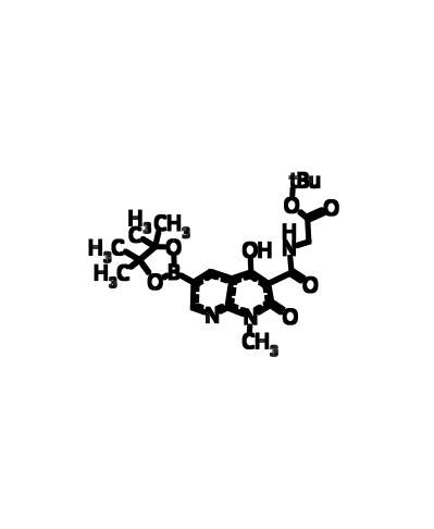 Cn1c(=O)c(C(=O)NCC(=O)OC(C)(C)C)c(O)c2cc(B3OC(C)(C)C(C)(C)O3)cnc21